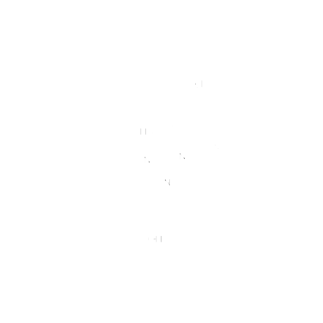 Cc1cc(Cl)cc(Cl)c1N1CCn2c1nc1c(Cl)ccc(CO)c12